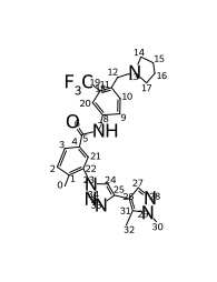 Cc1ccc(C(=O)Nc2ccc(CN3CCCC3)c(C(F)(F)F)c2)cc1-n1cc(-c2cnn(C)c2C)nn1